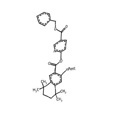 CCCCCc1cc2c(cc1C(=O)Oc1ccc(C(=O)OCc3ccccc3)cn1)C(C)(C)CCC2(C)C